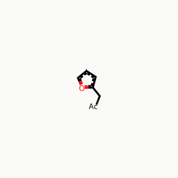 CC(=O)Cc1c[c]co1